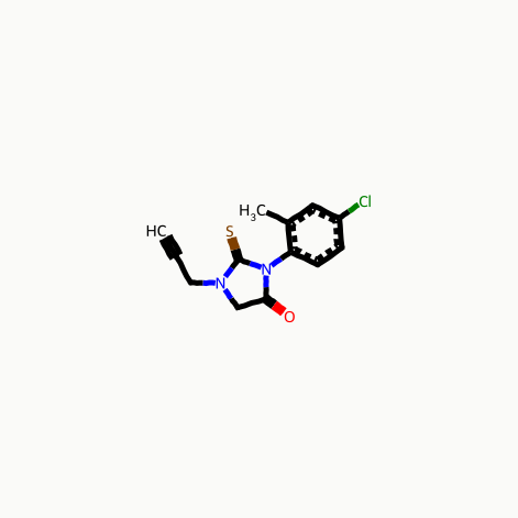 C#CCN1CC(=O)N(c2ccc(Cl)cc2C)C1=S